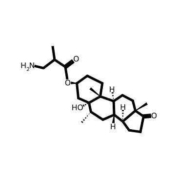 CC(CN)C(=O)O[C@H]1CC[C@]2(C)[C@H]3CC[C@]4(C)C(=O)CC[C@H]4[C@@H]3C[C@H](C)[C@@]2(O)C1